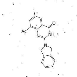 CC(=O)c1cc(C)cc2c(=O)[nH]c(N3Cc4ccccc4C3)nc12